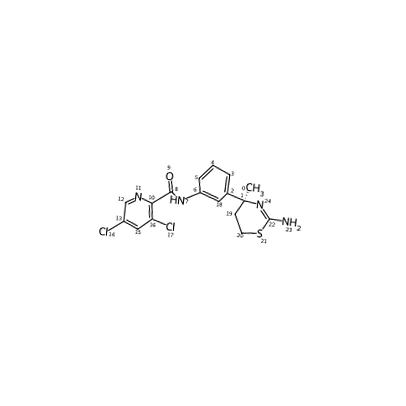 C[C@@]1(c2cccc(NC(=O)c3ncc(Cl)cc3Cl)c2)CCSC(N)=N1